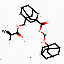 C=C(C)C(=O)OCC12CC3CC(C1)CC(C(=O)OCOC14CC5CC(CC(C5)C1)C4)(C3)C2